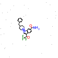 NC(=O)c1ccc2c(C(=O)C(F)(F)F)cn(N3CCC(Cc4ccccc4)CC3)c2c1